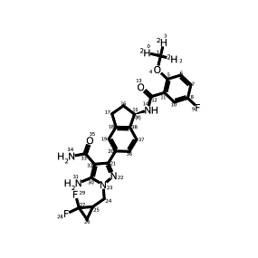 [2H]C([2H])([2H])Oc1ccc(F)cc1C(=O)N[C@@H]1CCc2cc(-c3nn(CC4CC4(F)F)c(N)c3C(N)=O)ccc21